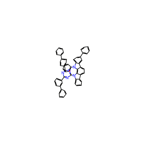 c1ccc(-c2ccc(-c3nc(-c4cccc(-c5ccccc5)c4)nc(-n4c5ccccc5c5ccc6c7cc(-c8ccccc8)ccc7n(-c7ccccc7)c6c54)n3)cc2)cc1